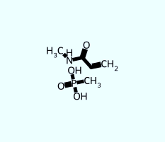 C=CC(=O)NC.CP(=O)(O)O